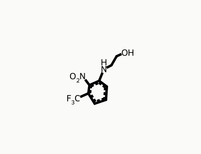 O=[N+]([O-])c1c(NCCO)cccc1C(F)(F)F